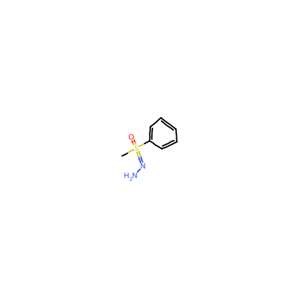 CS(=O)(=NN)c1ccccc1